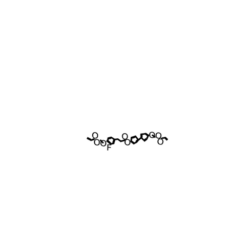 C=CC(=O)OCOc1ccc(-c2ccc(OC(=O)CCc3ccc(OCOC(=O)C=C)c(F)c3)cc2)cc1